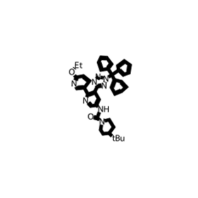 CCOc1ccc(-c2ncc(NC(=O)N3CCC(C(C)(C)C)CC3)cc2-c2nnn(C(c3ccccc3)(c3ccccc3)c3ccccc3)n2)cn1